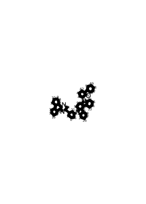 c1cc(-c2cnc3c4ccccc4c4ccccc4c3n2)cc(-n2c3ccccc3c3c4c5ccccc5n(-c5cccc6c5oc5ccccc56)c4ccc32)c1